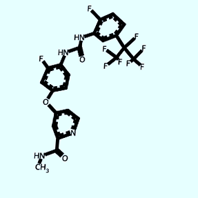 CNC(=O)c1cc(Oc2ccc(NC(=O)Nc3cc(C(F)(C(F)(F)F)C(F)(F)F)ccc3F)c(F)c2)ccn1